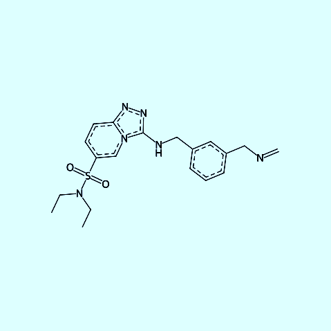 C=NCc1cccc(CNc2nnc3ccc(S(=O)(=O)N(CC)CC)cn23)c1